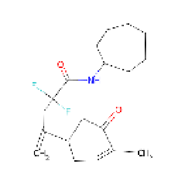 C=C(CC(F)(F)C(=O)NC1CCCCCC1)C1CC=C(C)C(=O)C1